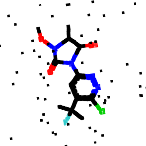 CON1C(=O)N(c2cc(C(C)(C)F)c(Cl)nn2)C(O)C1C